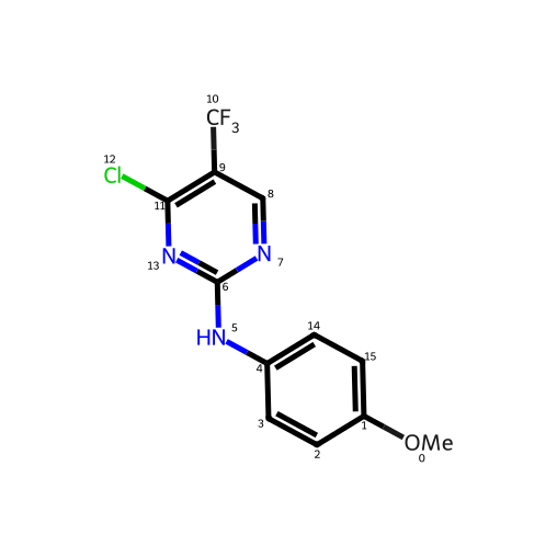 COc1ccc(Nc2ncc(C(F)(F)F)c(Cl)n2)cc1